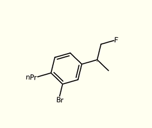 CCCc1ccc([C](C)CF)cc1Br